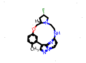 Cc1ccc2cc1-c1cnn3ccc(nc13)NCCN1C[C@@H](F)C[C@H]1CO2